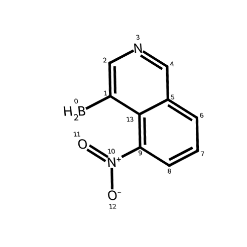 Bc1cncc2cccc([N+](=O)[O-])c12